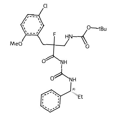 CC[C@@H](NC(=O)NC(=O)C(F)(CNC(=O)OC(C)(C)C)Cc1cc(Cl)ccc1OC)c1ccccc1